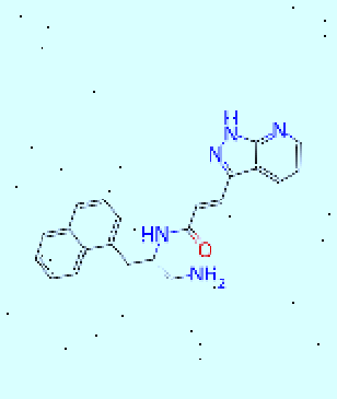 NC[C@H](Cc1cccc2ccccc12)NC(=O)/C=C/c1n[nH]c2ncccc12